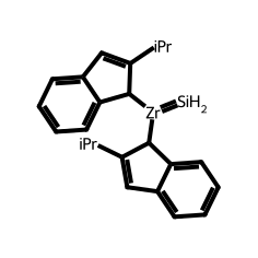 CC(C)C1=Cc2ccccc2[CH]1[Zr](=[SiH2])[CH]1C(C(C)C)=Cc2ccccc21